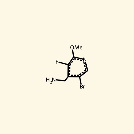 COc1ncc(Br)c(CN)c1F